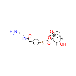 CC1C[C@@H](OC(=O)CSc2ccc(CC(=O)NCCCN)cc2)[C@]2(C)C(C)CC34CC(CCC3=O)(C42)[C@@H](C)C1O